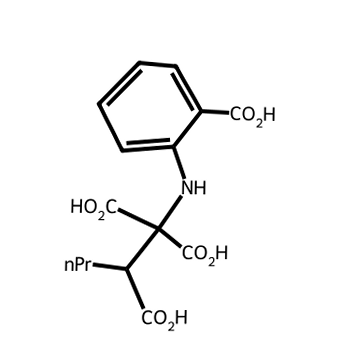 CCCC(C(=O)O)C(Nc1ccccc1C(=O)O)(C(=O)O)C(=O)O